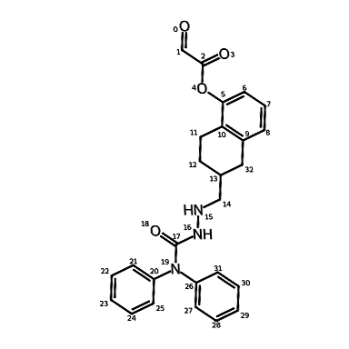 O=CC(=O)Oc1cccc2c1CCC(CNNC(=O)N(c1ccccc1)c1ccccc1)C2